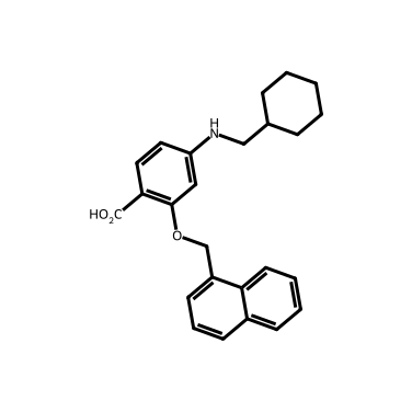 O=C(O)c1ccc(NCC2CCCCC2)cc1OCc1cccc2ccccc12